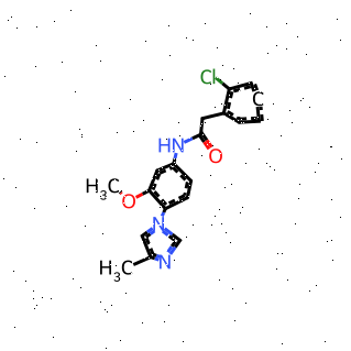 COc1cc(NC(=O)Cc2ccccc2Cl)ccc1-n1cnc(C)c1